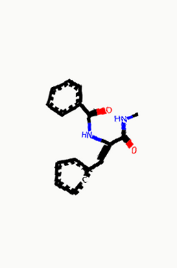 CNC(=O)/C(=C/c1ccccc1)NC(=O)c1ccccc1